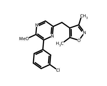 COc1ncc(Cc2c(C)noc2C)nc1-c1cccc(Cl)c1